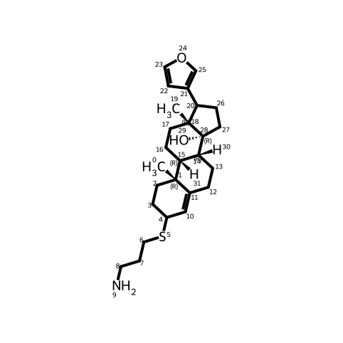 C[C@]12CCC(SCCCN)C=C1CC[C@@H]1[C@H]2CC[C@]2(C)C(c3ccoc3)CC[C@@]12O